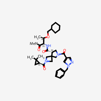 CNC(=O)[C@@H](NC(=O)[C@@H]1CN(C(=O)c2cnn(Cc3ccccc3)c2)CC12CN(C(=O)[C@H]1CC1(C)C)C2)[C@@H](C)OCC1CCCCC1